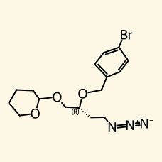 [N-]=[N+]=NCC[C@H](COC1CCCCO1)OCc1ccc(Br)cc1